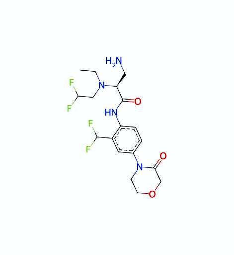 CCN(CC(F)F)[C@@H](CN)C(=O)Nc1ccc(N2CCOCC2=O)cc1C(F)F